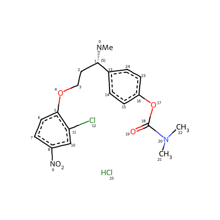 CN[C@@H](CCOc1ccc([N+](=O)[O-])cc1Cl)c1ccc(OC(=O)N(C)C)cc1.Cl